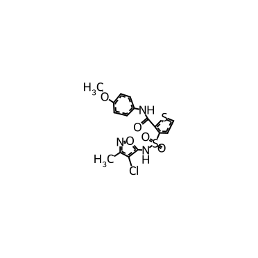 COc1ccc(NC(=O)c2sccc2S(=O)(=O)Nc2onc(C)c2Cl)cc1